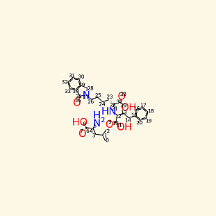 CC(C)C[C@H](N)C(=O)O.O=C(O)[C@H](CCc1ccccc1)N[C@H](CCCCN1Cc2ccccc2C1=O)C(=O)O